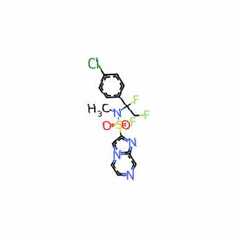 CN(C(F)(c1ccc(Cl)cc1)C(F)F)S(=O)(=O)c1cn2ccncc2n1